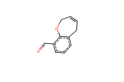 O=Cc1cccc2c1OCC=CC2